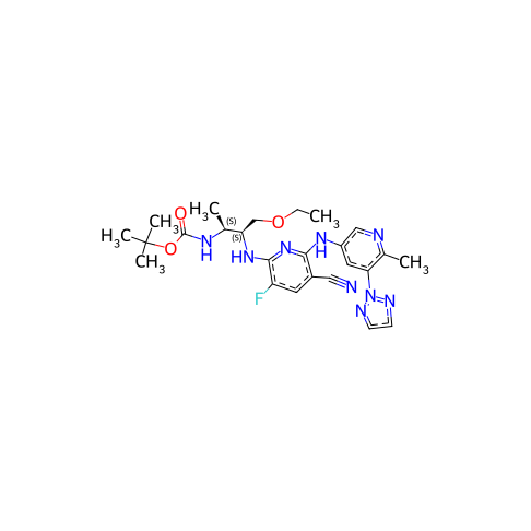 CCOC[C@@H](Nc1nc(Nc2cnc(C)c(-n3nccn3)c2)c(C#N)cc1F)[C@H](C)NC(=O)OC(C)(C)C